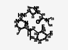 Cc1cnc(Nc2cnn(CC(=O)N(C)C)c2)nc1NCc1c(F)ccc(F)c1F